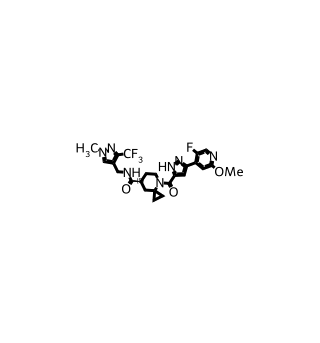 COc1cc(-c2cc(C(=O)N3CC[C@H](C(=O)NCc4cn(C)nc4C(F)(F)F)CC34CC4)[nH]n2)c(F)cn1